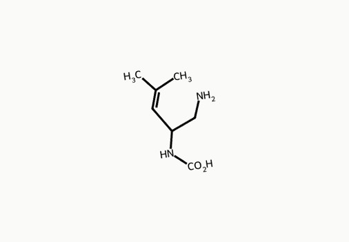 CC(C)=CC(CN)NC(=O)O